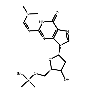 CN(C)/C=N\c1nc2c(ncn2[C@H]2CC(O)[C@@H](CO[Si](C)(C)C(C)(C)C)O2)c(=O)[nH]1